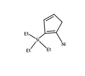 CC[Si](CC)(CC)C1=[C]([Ni])CC=C1